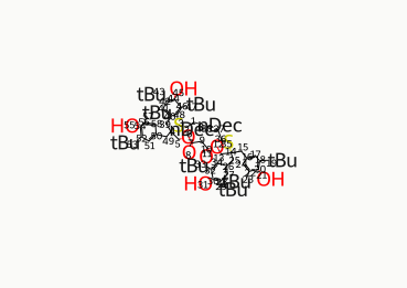 CCCCCCCCCCCCSC(COC(=O)CC(=O)OCC(Cc1cc(C(C)(C)C)c(O)c(C(C)(C)C)c1)(Cc1cc(C(C)(C)C)c(O)c(C(C)(C)C)c1)SCCCCCCCCCCCC)(Cc1cc(C(C)(C)C)c(O)c(C(C)(C)C)c1)Cc1cc(C(C)(C)C)c(O)c(C(C)(C)C)c1